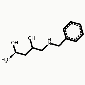 C[C@@H](O)CC(O)CNCc1ccccc1